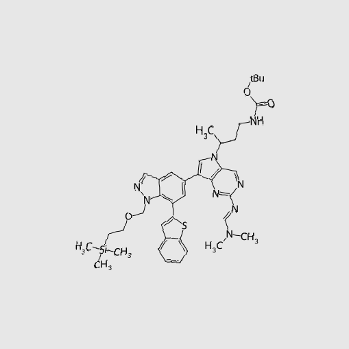 CC(CCNC(=O)OC(C)(C)C)n1cc(-c2cc(-c3cc4ccccc4s3)c3c(cnn3COCC[Si](C)(C)C)c2)c2nc(N=CN(C)C)ncc21